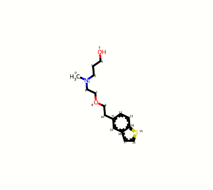 CN(CCCO)CCOCCc1ccc2sccc2c1